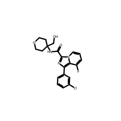 O=C(NC1(CO)CCOCC1)c1nc(-c2cccc(Cl)c2)c2c(F)cccn12